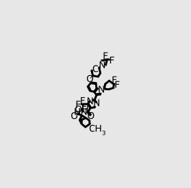 CC1CC2CC(C1)C(NC(=O)c1cnc(-c3cn(C4CCC(F)(F)CC4)c4cc(O[C@H]5CC[C@H](N6CC(F)(F)C6)CC5)ccc34)nc1C(F)(F)F)(C(=O)O)C2